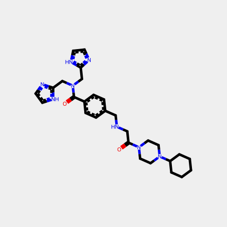 O=C(CNCc1ccc(C(=O)N(Cc2ncc[nH]2)Cc2ncc[nH]2)cc1)N1CCN(C2CCCCC2)CC1